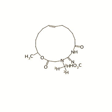 [2H]C([2H])([2H])N1CC(=O)OC(C)CCCC/C=C/CCCCC(=O)NC1=NC(=O)O